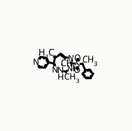 C=C1/C=C(C)/N=C(/S(=O)(=O)C(C)c2ccccc2)NC(C)N/N=C\1c1ccncc1